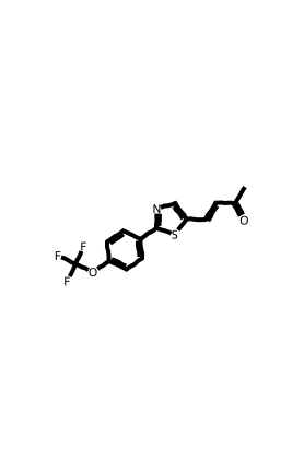 CC(=O)/C=C/c1cnc(-c2ccc(OC(F)(F)F)cc2)s1